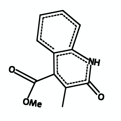 COC(=O)c1c(C)c(=O)[nH]c2ccccc12